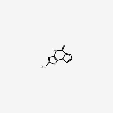 O=Cc1cc2[nH]c(=O)c3cccn3c2s1